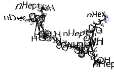 CCCCCC/C=C\CCCC(=O)O[C@H](CCCCCCC)CC(=O)NC(COCC[C@H](O)CCCCCCC)COP(=O)(O)OCCNC(=O)CC(=O)NCCOP(=O)(O)OCC(COCC[C@H](O)CCCCCCC)NC(=O)CC(=O)CCCCCCCCCCC